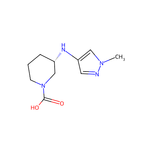 Cn1cc(N[C@H]2CCCN(C(=O)O)C2)cn1